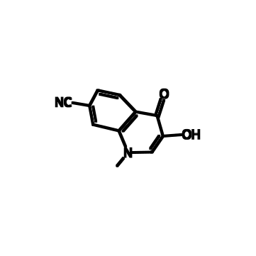 Cn1cc(O)c(=O)c2ccc(C#N)cc21